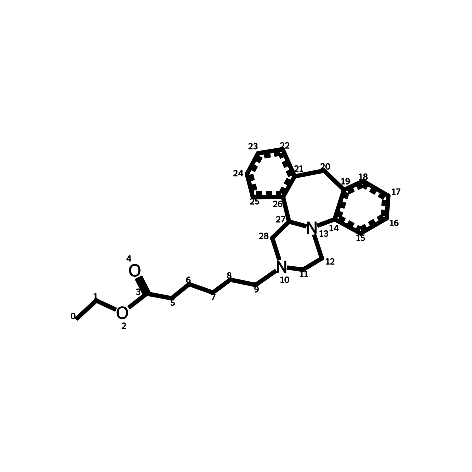 CCOC(=O)CCCCCN1CCN2c3ccccc3Cc3ccccc3C2C1